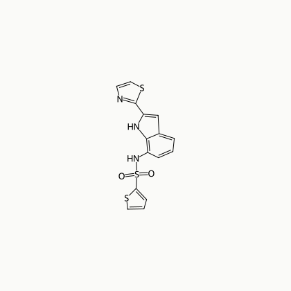 O=S(=O)(Nc1cccc2cc(-c3nccs3)[nH]c12)c1cccs1